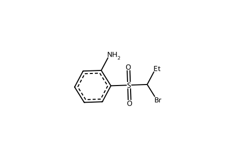 CCC(Br)S(=O)(=O)c1ccccc1N